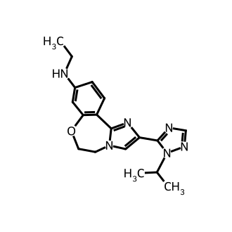 CCNc1ccc2c(c1)OCCn1cc(-c3ncnn3C(C)C)nc1-2